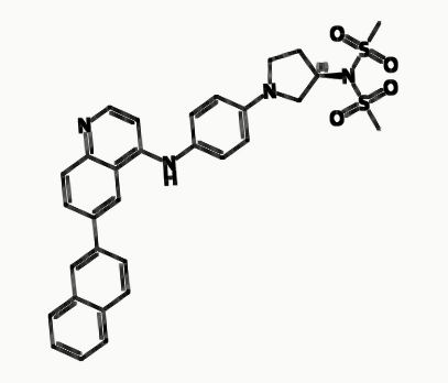 CS(=O)(=O)N([C@@H]1CCN(c2ccc(Nc3ccnc4ccc(-c5ccc6ccccc6c5)cc34)cc2)C1)S(C)(=O)=O